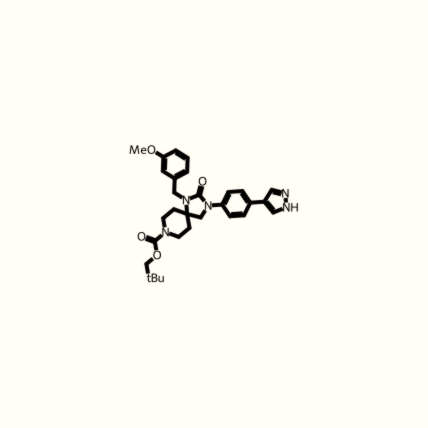 COc1cccc(CN2C(=O)N(c3ccc(-c4cn[nH]c4)cc3)CC23CCN(C(=O)OCC(C)(C)C)CC3)c1